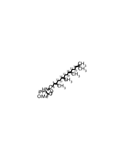 COC(=O)[C@@H](NC(=O)OC/C=C(\C)CC/C=C(\C)CC/C=C(\C)CCC=C(C)C)C(C)C